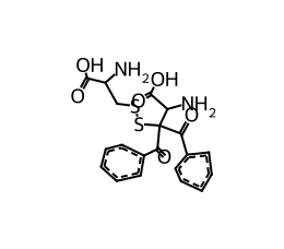 NC(CSSC(C(=O)c1ccccc1)(C(=O)c1ccccc1)C(N)C(=O)O)C(=O)O